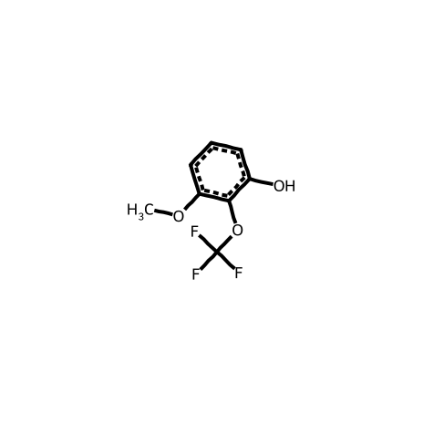 COc1cccc(O)c1OC(F)(F)F